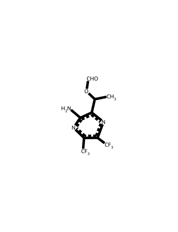 CC(OC=O)c1nc(C(F)(F)F)c(C(F)(F)F)nc1N